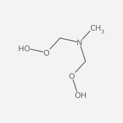 CN(COO)COO